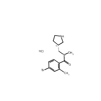 Cc1cc(Br)ccc1C(=O)N(C)C[C@@H]1CCNC1.Cl